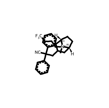 C[N+]1(CCCC(F)(F)F)[C@@H]2CC[C@H]1CC(CC(C#N)(c1ccccc1)c1ccccc1)C2